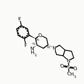 CS(=O)(=O)N1CCC2CN([C@H]3CO[C@H](c4cc(F)ccc4F)[C@@H](N)C3)CC21